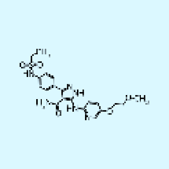 CCS(=O)(=O)Nc1ccc(-c2n[nH]c(Nc3ccc(OCCOC)cn3)c2C(N)=O)cc1